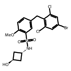 COc1ccc(Cc2c(Cl)cc(Br)cc2Cl)cc1S(=O)(=O)N[C@H]1C[C@H](O)C1